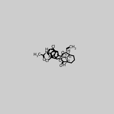 C=C[C@@H]1CN(Cc2ccccn2)C(=O)[C@@H]2CCC[C@H]1N2S(=O)(=O)c1cc(Cl)c(NC(C)=O)c(Cl)c1